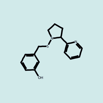 Oc1cccc(CSN2CCCC2c2ccccn2)c1